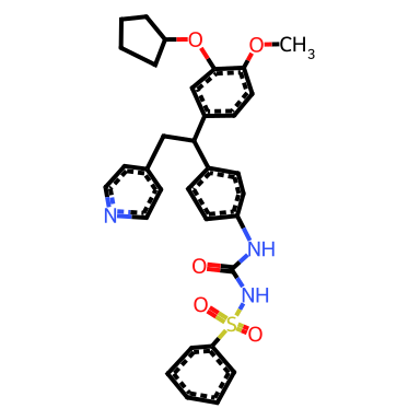 COc1ccc(C(Cc2ccncc2)c2ccc(NC(=O)NS(=O)(=O)c3ccccc3)cc2)cc1OC1CCCC1